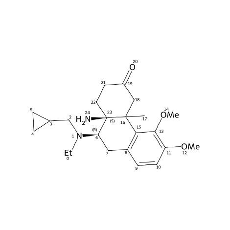 CCN(CC1CC1)[C@@H]1Cc2ccc(OC)c(OC)c2C2(C)CC(=O)CC[C@@]12N